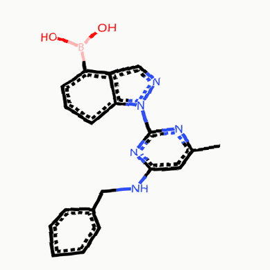 Cc1cc(NCc2ccccc2)nc(-n2ncc3c(B(O)O)cccc32)n1